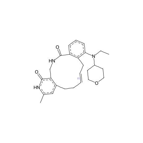 CCN(c1cccc2c1C/C=C/CCc1cc(C)[nH]c(=O)c1CNC2=O)C1CCOCC1